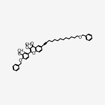 COc1cc(-c2oc3ccc(C#CCCCCCCCCCCCOCc4ccccc4)cc3c(=O)c2OC)ccc1OCc1ccccc1